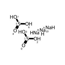 O=S(O)O.O=S(O)O.[NaH].[NaH].[NaH]